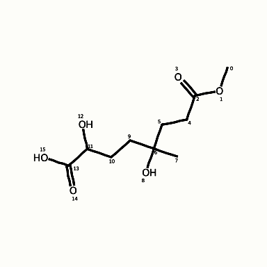 COC(=O)CCC(C)(O)CCC(O)C(=O)O